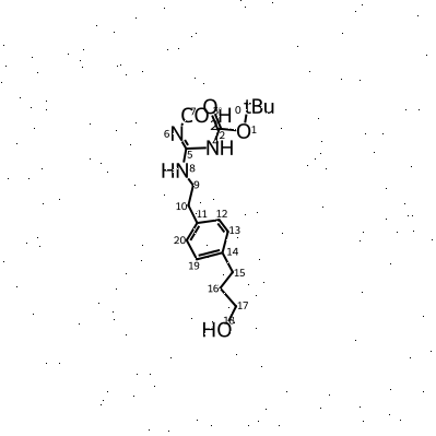 CC(C)(C)OC(=O)N/C(=N\C(=O)O)NCCc1ccc(CCCO)cc1